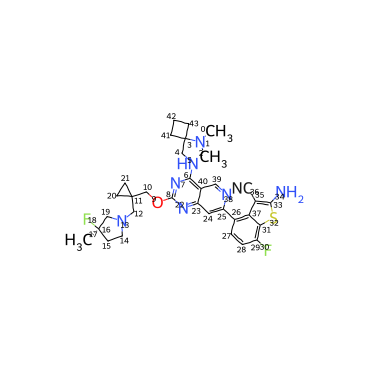 CN(C)C1(CNc2nc(OCC3(CN4CC[C@@](C)(F)C4)CC3)nc3cc(-c4ccc(F)c5sc(N)c(C#N)c45)ncc23)CCC1